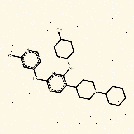 O[C@H]1CC[C@H](Nc2nc(Nc3ccnc(Cl)c3)ncc2C2CCN(C3CCCCC3)CC2)CC1